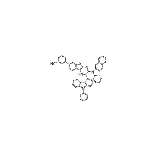 N#Cc1cccc(-c2ccc3c4c(sc3c2)N=C(N2c3cc5ccccc5cc3C3C=CC=CC32)C(c2cccc3c2c2ccccc2n3-c2ccccc2)N4)c1